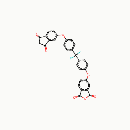 O=C1CC(=O)c2cc(Oc3ccc(C(F)(F)c4ccc(Oc5ccc6c(c5)C(=O)OC6=O)cc4)cc3)ccc21